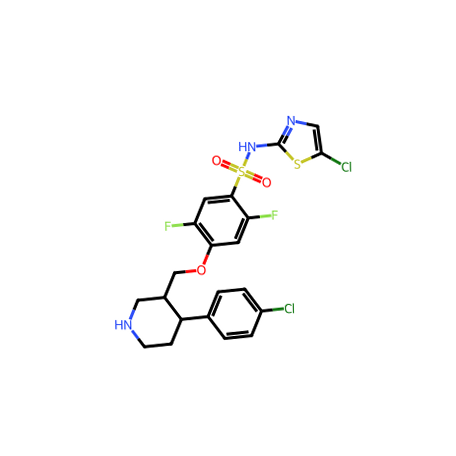 O=S(=O)(Nc1ncc(Cl)s1)c1cc(F)c(OCC2CNCCC2c2ccc(Cl)cc2)cc1F